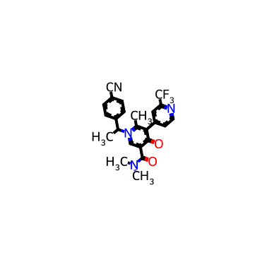 Cc1c(-c2ccnc(C(F)(F)F)c2)c(=O)c(C(=O)N(C)C)cn1C(C)c1ccc(C#N)cc1